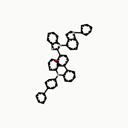 c1ccc(-c2ccc(N(c3ccccc3)c3ccccc3-c3ccc(-c4nc5ccccc5n4-c4cccc5c4ccn5-c4ccccc4)cc3)cc2)cc1